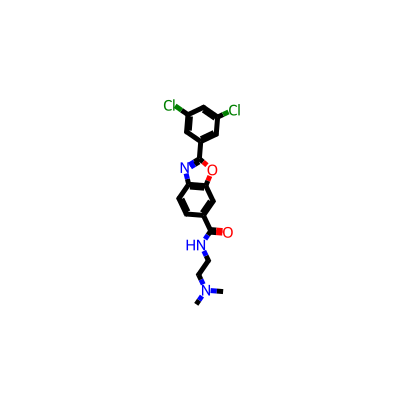 CN(C)CCNC(=O)c1ccc2nc(-c3cc(Cl)cc(Cl)c3)oc2c1